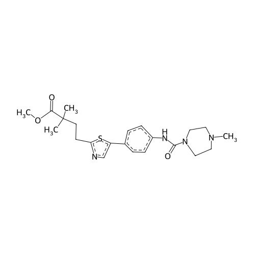 COC(=O)C(C)(C)CCc1ncc(-c2ccc(NC(=O)N3CCN(C)CC3)cc2)s1